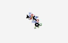 Cn1cc(S(=O)(=O)NC2(C(F)(F)F)CC2)cc1C(=O)Nc1cc(F)c(F)c(Cl)c1